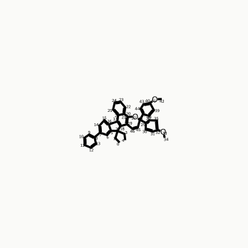 CCC1(CC)c2cc(-c3ccccc3)ccc2-c2c1c1c(c3ccccc23)OC(c2ccc(OC)cc2)(c2ccc(OC)cc2)C=C1